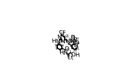 CCC(CO)NC(=O)c1cccc(Nc2nc(NCc3cccnc3N(C)S(C)(=O)=O)cc(C(F)(F)F)n2)c1